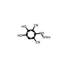 CCCCCCNc1c(C#N)cc(O)c(O)c1C#N